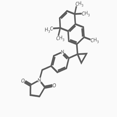 Cc1cc2c(cc1C1(c3ccc(CN4C(=O)CCC4=O)cn3)CC1)C(C)(C)C=CC2(C)C